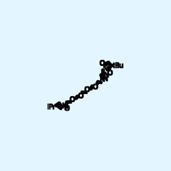 CC(C)C1CN(C(=O)CCOCCOCCOCCOCCn2cc(CN3C(=O)CC(C(C)(C)C)C3=O)nn2)C1